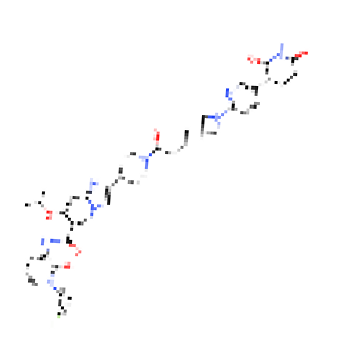 CC(C)Oc1cc2nc(C3CCN(C(=O)CC4CC5(C4)CN(c4ccc(C6CCC(=O)NC6=O)cn4)C5)CC3)cn2cc1C(=O)Nc1cccn([C@H]2C[C@H]2F)c1=O